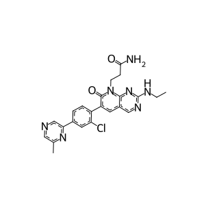 CCNc1ncc2cc(-c3ccc(-c4cncc(C)n4)cc3Cl)c(=O)n(CCC(N)=O)c2n1